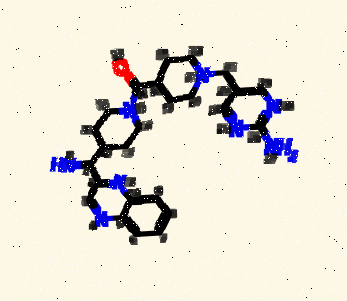 N=C(c1cnc2ccccc2n1)C1CCN(C(=O)C2CCN(Cc3cnc(N)nc3)CC2)CC1